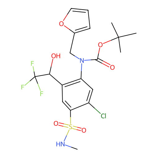 CNS(=O)(=O)c1cc(C(O)C(F)(F)F)c(N(Cc2ccco2)C(=O)OC(C)(C)C)cc1Cl